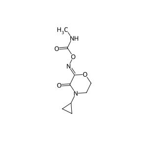 CNC(=O)ON=C1OCCN(C2CC2)C1=O